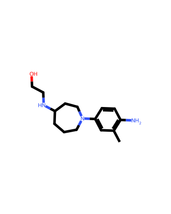 Cc1cc(N2CCCC(NCCO)CC2)ccc1N